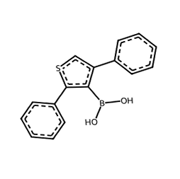 OB(O)c1c(-c2ccccc2)csc1-c1ccccc1